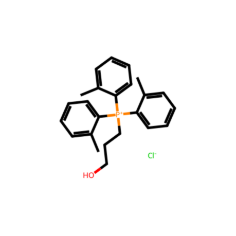 Cc1ccccc1[P+](CCCO)(c1ccccc1C)c1ccccc1C.[Cl-]